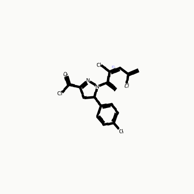 C=C(Cl)/C=C(/Cl)C(=C)N1N=C(C(=O)Cl)CC1c1ccc(Cl)cc1